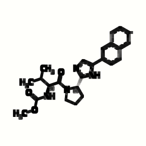 COC(=O)N[C@H](C(=O)N1CCC[C@H]1c1ncc(-c2ccc3c[c]ccc3c2)[nH]1)C(C)C